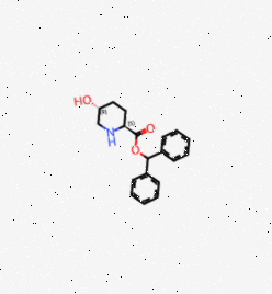 O=C(OC(c1ccccc1)c1ccccc1)[C@@H]1CC[C@@H](O)CN1